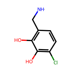 [NH]Cc1ccc(Cl)c(O)c1O